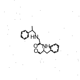 CC(CNCC(=O)NC(C=O)Cc1ccccc1)c1ccccc1